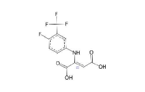 O=C(O)/C=C(\Nc1ccc(F)c(C(F)(F)F)c1)C(=O)O